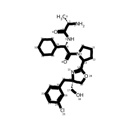 C[C@H](N)C(=O)N[C@H](C(=O)N1CCCC1C1=N[C@](CO)(Cc2cccc(Cl)c2)CO1)C1CCCCC1